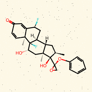 C[C@@H]1C[C@H]2[C@@H]3C[C@H](F)C4=CC(=O)C=C[C@]4(C)[C@@]3(F)[C@@H](O)C[C@]2(C)[C@@]1(O)[C@]1(Oc2ccccc2)CO1